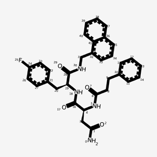 NC(=O)C[C@H](NC(=O)CCc1ccccc1)C(=O)N[C@@H](Cc1ccc(F)cc1)C(=O)NCc1cccc2ccccc12